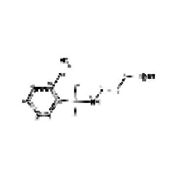 CCCCCCCCCCCCNC(C)(C)c1ccccc1C.Cl